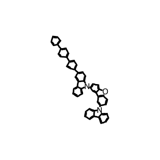 c1ccc(-c2ccc(-c3ccc(-c4ccc5c(c4)c4ccccc4n5-c4ccc5oc6ccc(-n7c8ccccc8c8ccccc87)cc6c5c4)cc3)cc2)cc1